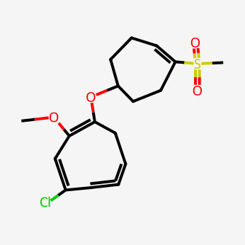 COC1=C(\OC2CCC=C(S(C)(=O)=O)CC2)CC=C=C/C(Cl)=C\1